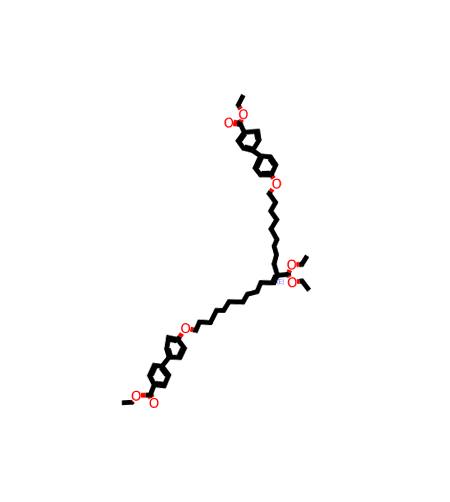 CCOC(=O)c1ccc(-c2ccc(OCCCCCCCCCC/C=C(\CCCCCCCCCOc3ccc(-c4ccc(C(=O)OCC)cc4)cc3)C(OCC)OCC)cc2)cc1